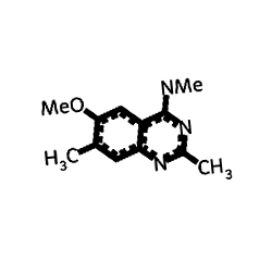 CNc1nc(C)nc2cc(C)c(OC)cc12